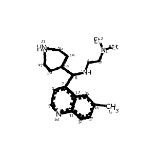 CCN(CC)CCNC(c1ccnc2ccc(C)cc12)C1CCNCC1